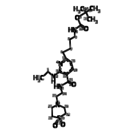 CCNc1nc(CCCCNC(=O)OC(C)(C)C)ccc1C(=O)NCCN1CCS(=O)(=O)CC1